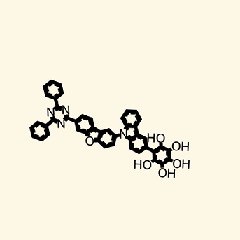 Oc1c(O)c(O)c(-c2ccc3c(c2)c2ccccc2n3-c2ccc3oc4cc(-c5nc(-c6ccccc6)nc(-c6ccccc6)n5)ccc4c3c2)c(O)c1O